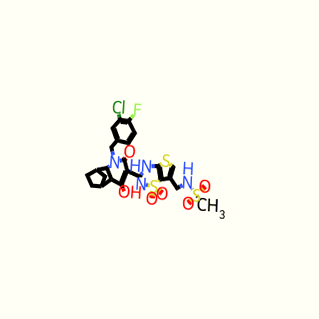 CS(=O)(=O)NCc1csc2c1S(=O)(=O)N=C(C1=C(O)C3C4CCC(C4)C3N(Cc3ccc(F)c(Cl)c3)C1=O)N2